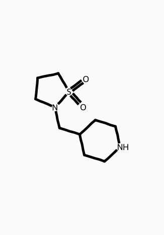 O=S1(=O)CCCN1CC1CCNCC1